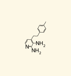 Cc1ccc(CCc2ccnc(N)c2N)cc1